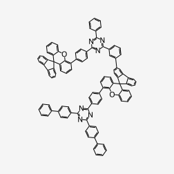 c1ccc(-c2ccc(-c3nc(-c4ccc(-c5ccccc5)cc4)nc(-c4ccc(-c5cccc6c5Oc5ccccc5C65c6ccccc6-c6cc(-c7cccc(-c8nc(-c9ccccc9)nc(-c9ccc(-c%10cccc%11c%10Oc%10ccccc%10C%11%10c%11ccccc%11-c%11ccccc%11%10)cc9)n8)c7)ccc65)cc4)n3)cc2)cc1